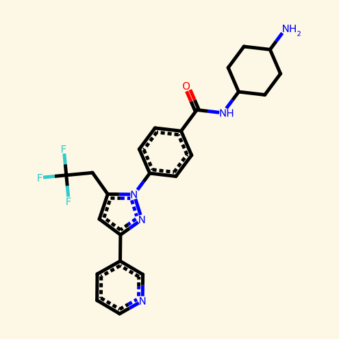 NC1CCC(NC(=O)c2ccc(-n3nc(-c4cccnc4)cc3CC(F)(F)F)cc2)CC1